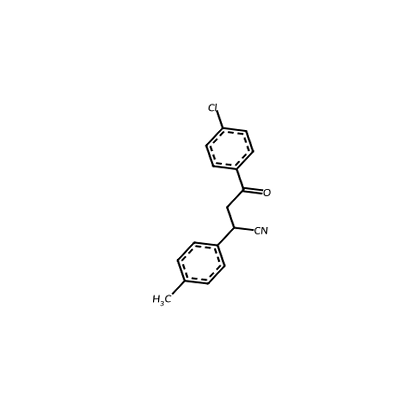 Cc1ccc(C(C#N)CC(=O)c2ccc(Cl)cc2)cc1